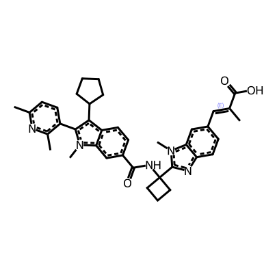 C/C(=C\c1ccc2nc(C3(NC(=O)c4ccc5c(C6CCCC6)c(-c6ccc(C)nc6C)n(C)c5c4)CCC3)n(C)c2c1)C(=O)O